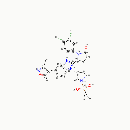 Cc1noc(C)c1-c1ccc2c(c1)nc([C@@H]1CCC(=O)N1c1ccc(F)c(F)c1)n2[C@@H]1CCN(S(=O)(=O)C2CC2)C1